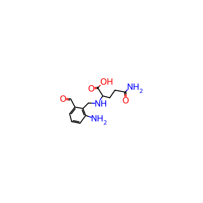 NC(=O)CCC(NCc1c(N)cccc1C=O)C(=O)O